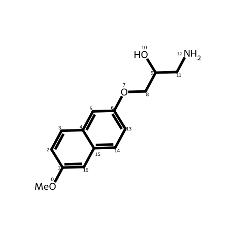 COc1ccc2cc(OCC(O)CN)ccc2c1